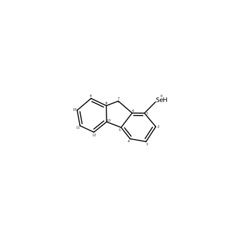 [SeH]c1cccc2c1[CH]c1ccccc1-2